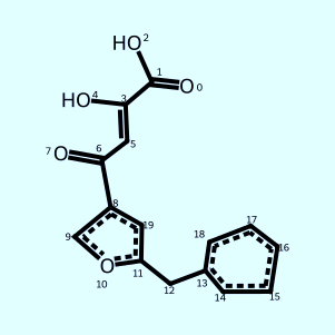 O=C(O)C(O)=CC(=O)c1coc(Cc2ccccc2)c1